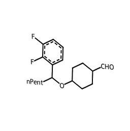 CCCCCC(OC1CCC(C=O)CC1)c1cccc(F)c1F